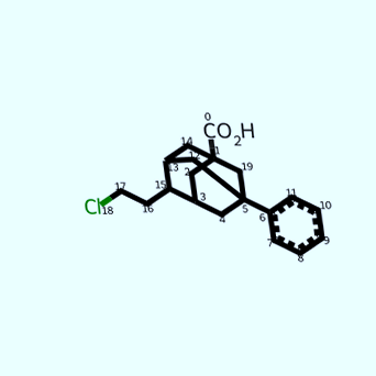 O=C(O)C12CC3CC(c4ccccc4)(CC(C1)C3CCCl)C2